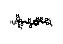 CC(C)CC(N)c1ccc(C(=O)NCCC(=O)OC(C)(C)C)cc1